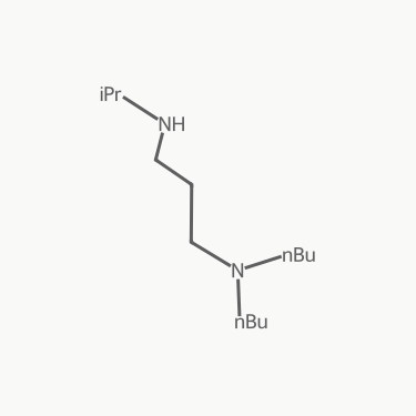 CCCCN(CCCC)CCCNC(C)C